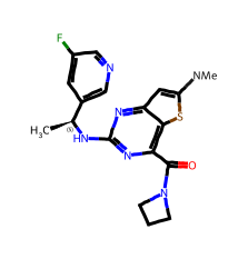 CNc1cc2nc(N[C@@H](C)c3cncc(F)c3)nc(C(=O)N3CCC3)c2s1